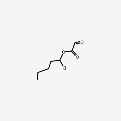 CCCCC(Cl)OC(=O)C=O